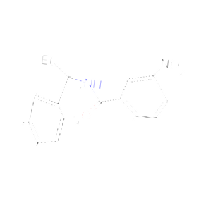 CCC(NC(=O)c1cccc([N+](=O)[O-])c1)c1ccccc1